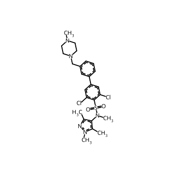 Cc1nn(C)c(C)c1N(C)S(=O)(=O)c1c(Cl)cc(-c2cccc(CN3CCN(C)CC3)c2)cc1Cl